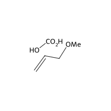 C=CCOC.O=C(O)O